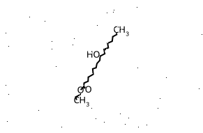 CCCCCCCCC(O)CCCCCCCCC(=O)OCCC